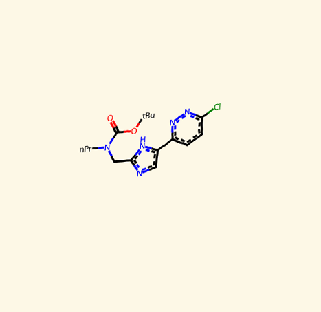 CCCN(Cc1ncc(-c2ccc(Cl)nn2)[nH]1)C(=O)OC(C)(C)C